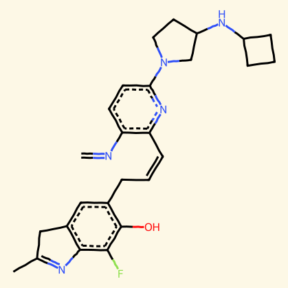 C=Nc1ccc(N2CCC(NC3CCC3)C2)nc1/C=C\Cc1cc2c(c(F)c1O)N=C(C)C2